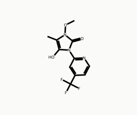 COn1c(C)c(O)n(-c2cc(C(F)(F)F)ccn2)c1=O